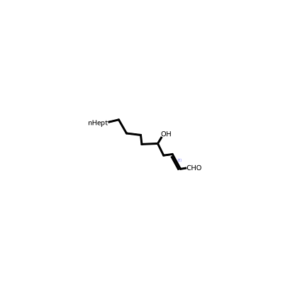 CCCCCCCCCCCC(O)C/C=C/C=O